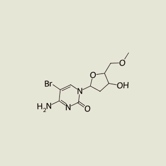 COCC1OC(n2cc(Br)c(N)nc2=O)CC1O